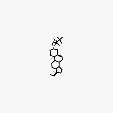 C/C=C1/CCC2C3CC=C4C[C@@H](O[Si](C)(C)C(C)(C)C)CC[C@]4(C)C3CC[C@]12C